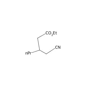 CCCC(CC#N)CC(=O)OCC